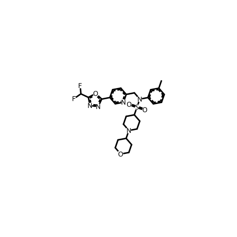 Cc1cccc(N(Cc2ccc(-c3nnc(C(F)F)o3)cn2)S(=O)(=O)C2CCN(C3CCOCC3)CC2)c1